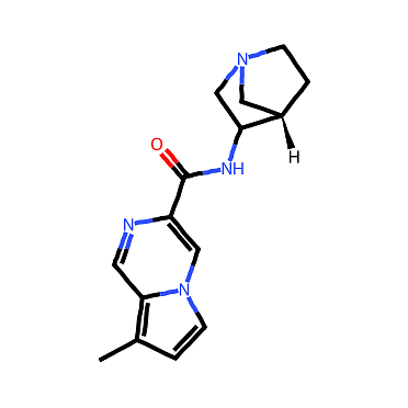 Cc1ccn2cc(C(=O)NC3CN4CC[C@H]3C4)ncc12